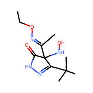 CCON=C(C)C1(NO)C(=O)NN=C1C(C)(C)C